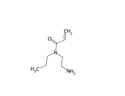 C=CC(=O)N(CCC)CCN